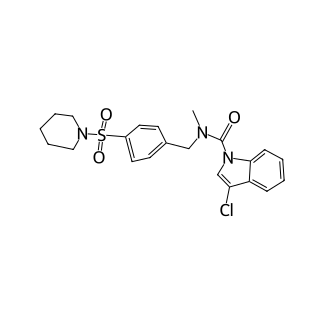 CN(Cc1ccc(S(=O)(=O)N2CCCCC2)cc1)C(=O)n1cc(Cl)c2ccccc21